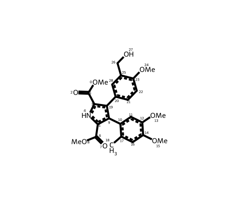 COC(=O)c1[nH]c(C(=O)OC)c(-c2cc(OC)c(OC)cc2C)c1-c1ccc(OC)c(CO)c1